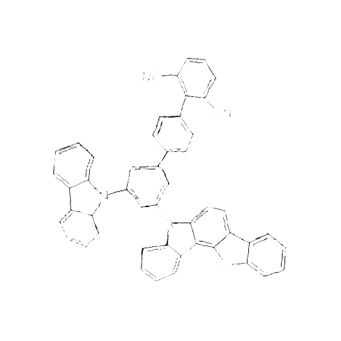 N#Cc1cccc(C#N)c1-c1ccc(-c2cc(-n3c4ccccc4c4ccccc43)cc(-n3c4ccccc4c4c5oc6ccccc6c5ccc43)c2)cc1